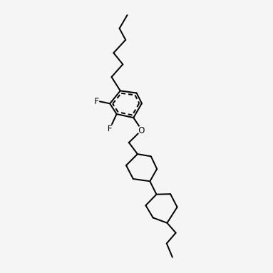 CCCCCCc1ccc(OCC2CCC(C3CCC(CCC)CC3)CC2)c(F)c1F